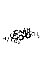 Cc1ccc(C2CCN(C(=O)OC(C)(C)C)CC2)c(N(C)CCN2CCCC2)n1